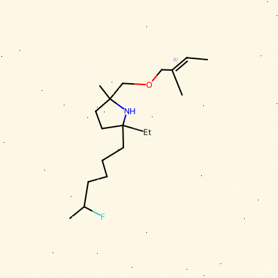 C/C=C(\C)COCC1(C)CCC(CC)(CCCCC(C)F)N1